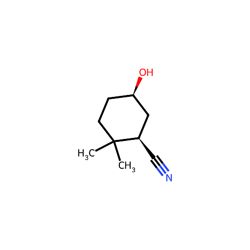 CC1(C)CC[C@@H](O)C[C@H]1C#N